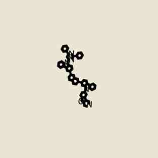 c1ccc(-c2cc(-n3c4ccccc4c4cc(-c5ccc6ccc(-c7ccc8c9ccccc9n(-c9ccc%10oc%11ccncc%11c%10c9)c8c7)cc6c5)ccc43)nc(-c3ccccc3)n2)cc1